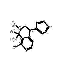 CC(=O)C1(N)c2c(Cl)cccc2C(c2ccccc2)CN1C